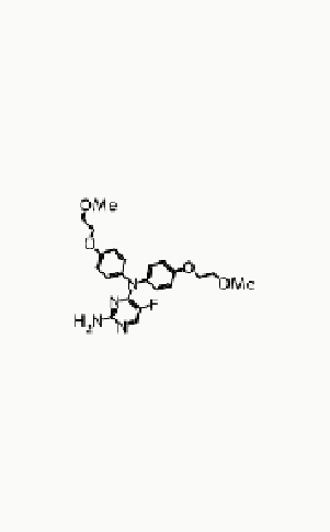 COCCOc1ccc(N(c2ccc(OCCOC)cc2)c2nc(N)ncc2F)cc1